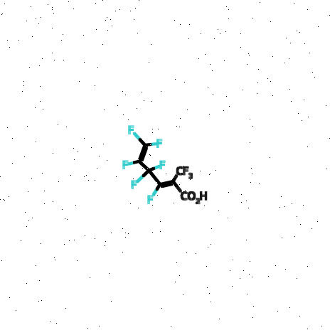 O=C(O)C(=C(F)C(F)(F)C(F)=C(F)F)C(F)(F)F